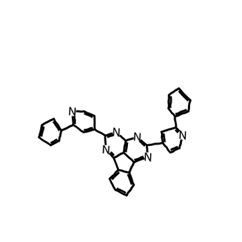 c1ccc(-c2cc(-c3nc4c5c(nc(-c6ccnc(-c7ccccc7)c6)nc5n3)-c3ccccc3-4)ccn2)cc1